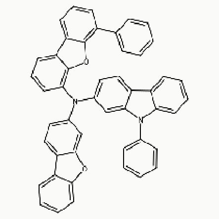 c1ccc(-c2cccc3c2oc2c(N(c4ccc5c(c4)oc4ccccc45)c4ccc5c6ccccc6n(-c6ccccc6)c5c4)cccc23)cc1